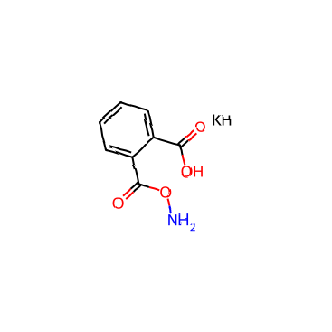 NOC(=O)c1ccccc1C(=O)O.[KH]